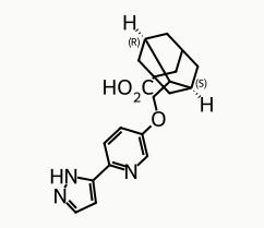 O=C(O)C12CC3C[C@H](C1)C(COc1ccc(-c4ccn[nH]4)nc1)[C@@H](C3)C2